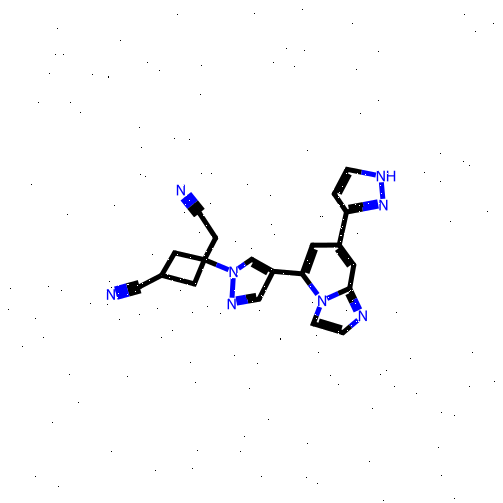 N#CCC1(n2cc(-c3cc(-c4cc[nH]n4)cc4nccn34)cn2)CC(C#N)C1